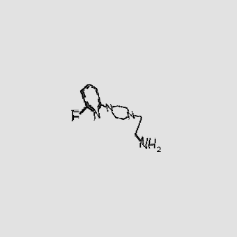 NCCN1CCN(c2cccc(F)n2)CC1